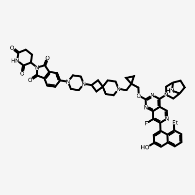 CCc1cccc2cc(O)cc(-c3ncc4c(N5CC6CCC(C5)N6)nc(OCC5(CN6CCC7(CC6)CC(N6CCN(c8ccc9c(c8)C(=O)N(C8CCC(=O)NC8=O)C9=O)CC6)C7)CC5)nc4c3F)c12